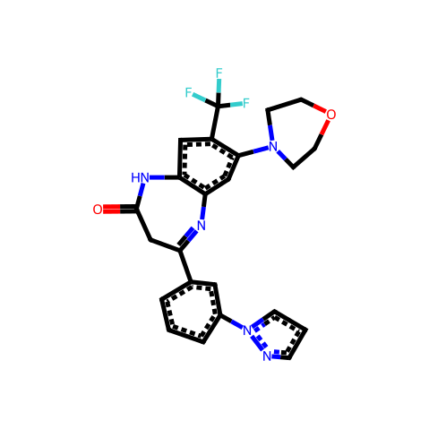 O=C1CC(c2cccc(-n3cccn3)c2)=Nc2cc(N3CCOCC3)c(C(F)(F)F)cc2N1